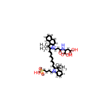 CC1(C)C(/C=C/C=C/C=C/C=C2/N(CCCCS(=O)(=O)O)c3ccccc3C2(C)C)=[N+](CCC(=O)NC(CC(=O)O)C(=O)O)c2ccc3ccccc3c21